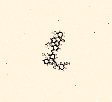 CC(C)c1ccccc1-c1c(/C=C/C(=O)N2CCCC(O)C2)ccc(Sc2ccc(/C=C/C(=O)N3CCCC(O)C3)c(-c3ccccc3C(C)C)c2[N+](=O)[O-])c1[N+](=O)[O-]